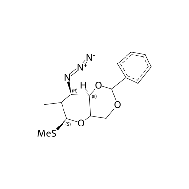 CS[C@@H]1OC2COC(c3ccccc3)O[C@@H]2[C@H](N=[N+]=[N-])C1C